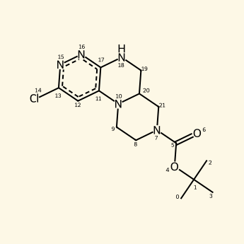 CC(C)(C)OC(=O)N1CCN2c3cc(Cl)nnc3NCC2C1